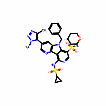 Cc1nnn(C)c1-c1cnc2c3c(NS(=O)(=O)C4CC4)ncc(S(C)(=O)=O)c3n([C@H](c3ccccc3)C3CCOCC3)c2c1